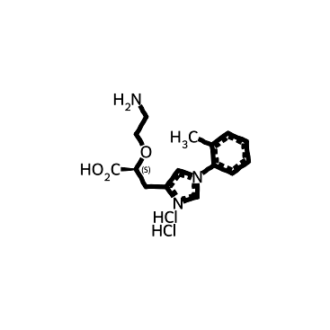 Cc1ccccc1-n1cnc(C[C@H](OCCN)C(=O)O)c1.Cl.Cl